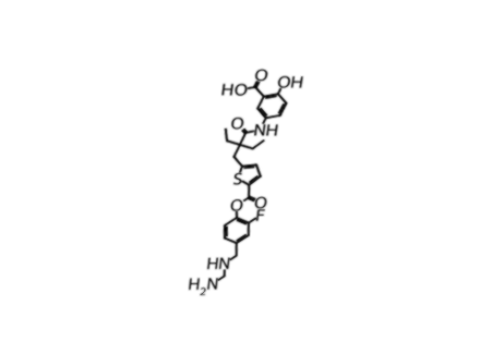 CCC(CC)(Cc1ccc(C(=O)Oc2ccc(CNCN)cc2F)s1)C(=O)Nc1ccc(O)c(C(=O)O)c1